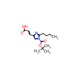 CCCCc1nc(C=CC(=O)O)cn1C(=O)OC(C)(C)C